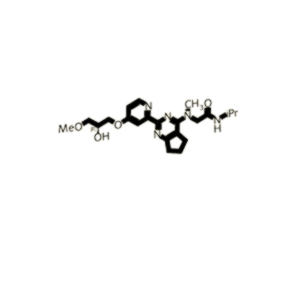 COC[C@@H](O)COc1ccnc(-c2nc3c(c(N(C)CC(=O)NC(C)C)n2)CCC3)c1